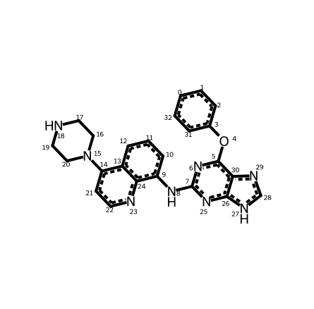 c1ccc(Oc2nc(Nc3cccc4c(N5CCNCC5)ccnc34)nc3[nH]cnc23)cc1